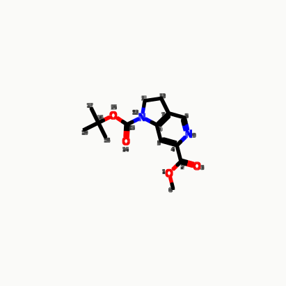 COC(=O)c1cc2c(cn1)CCN2C(=O)OC(C)(C)C